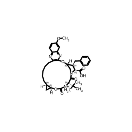 COc1ccc2nc3c(nc2c1)O[C@H]1CN(C(=O)[C@H](C(C)(C)C)NC(=O)O[C@@H]2C[C@H]2CCCCC3)[C@H](C(=O)O)[C@@H]1Cc1ccccc1